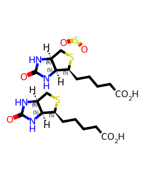 O=C(O)CCCC[C@@H]1SC[C@@H]2NC(=O)N[C@@H]21.O=C(O)CCCC[C@@H]1SC[C@@H]2NC(=O)N[C@@H]21.O=S=O